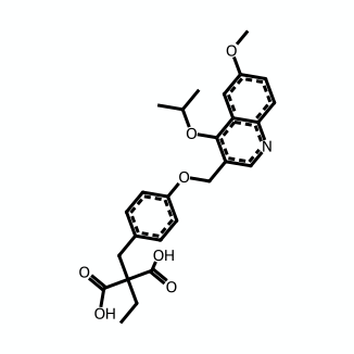 CCC(Cc1ccc(OCc2cnc3ccc(OC)cc3c2OC(C)C)cc1)(C(=O)O)C(=O)O